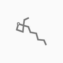 CCCCCCC1(CC)CCO1